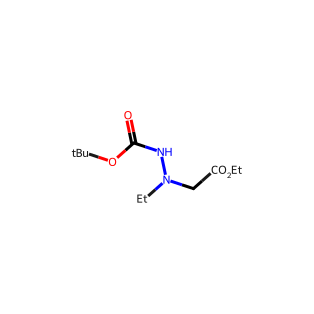 CCOC(=O)CN(CC)NC(=O)OC(C)(C)C